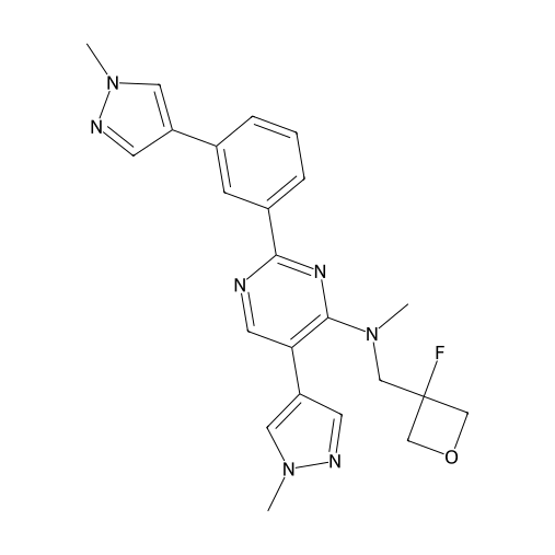 CN(CC1(F)COC1)c1nc(-c2cccc(-c3cnn(C)c3)c2)ncc1-c1cnn(C)c1